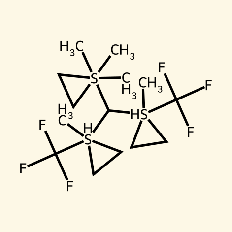 C[SH]1(C([SH]2(C)(C(F)(F)F)CC2)S2(C)(C)(C)CC2)(C(F)(F)F)CC1